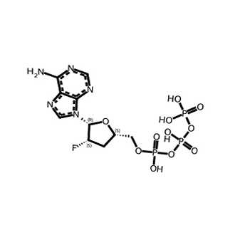 Nc1ncnc2c1ncn2[C@@H]1O[C@H](COP(=O)(O)OP(=O)(O)OP(=O)(O)O)C[C@@H]1F